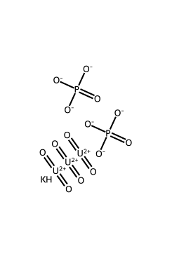 O=P([O-])([O-])[O-].O=P([O-])([O-])[O-].[KH].[O]=[U+2]=[O].[O]=[U+2]=[O].[O]=[U+2]=[O]